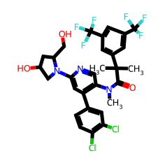 CN(C(=O)C(C)(C)c1cc(C(F)(F)F)cc(C(F)(F)F)c1)c1cnc(N2CC(O)CC2CO)cc1-c1ccc(Cl)c(Cl)c1